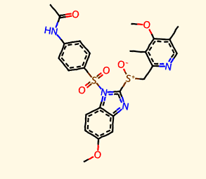 COc1ccc2c(c1)nc([S+]([O-])Cc1ncc(C)c(OC)c1C)n2S(=O)(=O)c1ccc(NC(C)=O)cc1